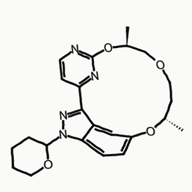 C[C@H]1CCOC[C@H](C)Oc2nccc(n2)-c2nn(C3CCCCO3)c3ccc(cc23)O1